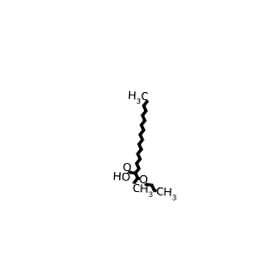 CCCCCCCCCCCCCCCCC(C(=O)O)C(CC)OCCCC